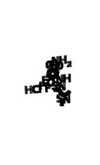 Cc1nc(C)c(-c2csc(Nc3cc(S(N)(=O)=O)ccc3OC(F)(F)F)n2)s1.Cl